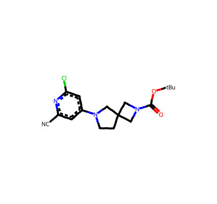 CC(C)(C)OC(=O)N1CC2(CCN(c3cc(Cl)nc(C#N)c3)C2)C1